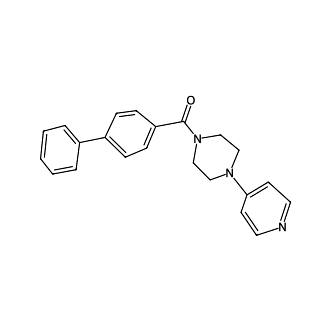 O=C(c1ccc(-c2ccccc2)cc1)N1CCN(c2ccncc2)CC1